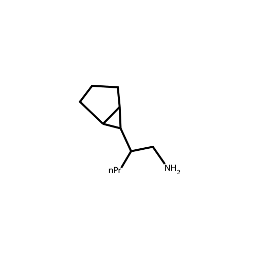 CCCC(CN)C1C2CCCC21